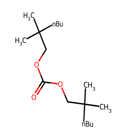 CCCCC(C)(C)COC(=O)OCC(C)(C)CCCC